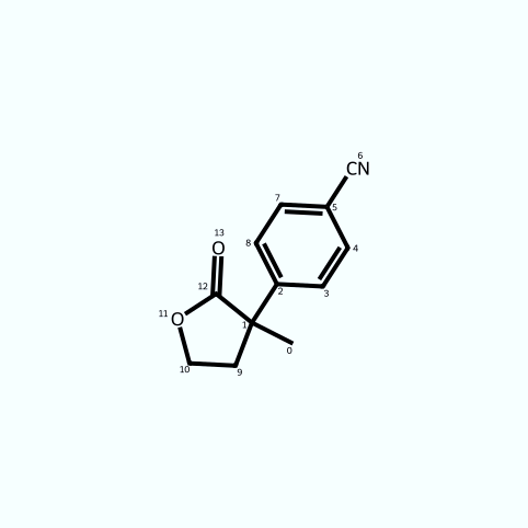 CC1(c2ccc(C#N)cc2)CCOC1=O